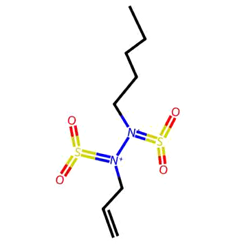 C=CC[N+]([N+](CCCCC)=S(=O)=O)=S(=O)=O